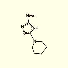 CNc1nnc(N2CCCCC2)[nH]1